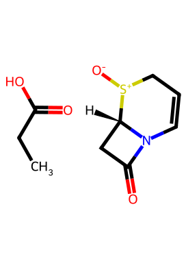 CCC(=O)O.O=C1C[C@H]2N1C=CC[S+]2[O-]